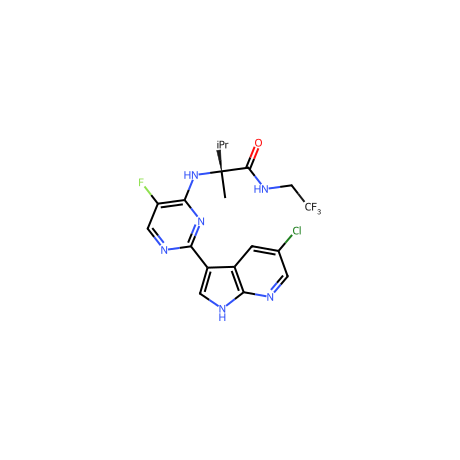 CC(C)[C@@](C)(Nc1nc(-c2c[nH]c3ncc(Cl)cc23)ncc1F)C(=O)NCC(F)(F)F